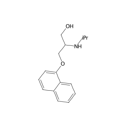 CC(C)NC(CO)COc1cccc2ccccc12